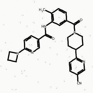 Cc1ccc(C(=O)N2CCC(c3ccc(C#N)cn3)CC2)cc1NC(=O)c1ccc(N2CCC2)nc1